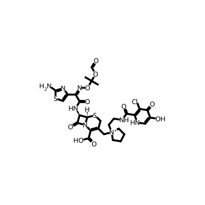 CC(C)(OC=O)O/N=C(\C(=O)N[C@@H]1C(=O)N2C(C(=O)O)=C(C[N+]3(CCNC(=O)c4[nH]cc(O)c(=O)c4Cl)CCCC3)CS[C@H]12)c1csc(N)n1